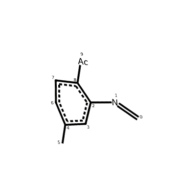 C=Nc1cc(C)ccc1C(C)=O